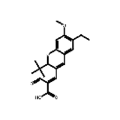 CCc1cc2c(cc1OC)OC(C(C)(C)C)C(/C=C(\C=O)C(=O)O)=C2